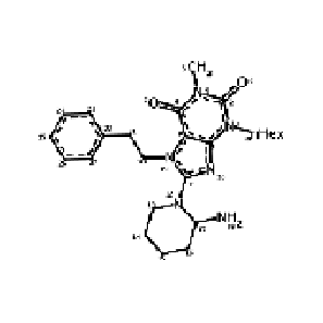 CCCCCCn1c(=O)n(C)c(=O)c2c1nc(N1CCCCC1N)n2CCc1ccccc1